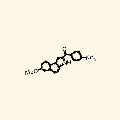 COc1ccc2c(ccc3[nH]c(C(=O)c4ccc(N)cc4)cc32)c1